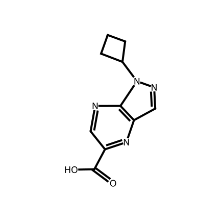 O=C(O)c1cnc2c(cnn2C2CCC2)n1